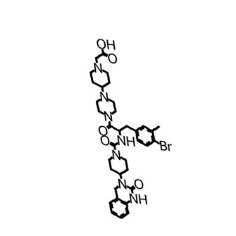 Cc1cc(CC(NC(=O)N2CCC(N3Cc4ccccc4NC3=O)CC2)C(=O)N2CCN(C3CCN(CC(=O)O)CC3)CC2)ccc1Br